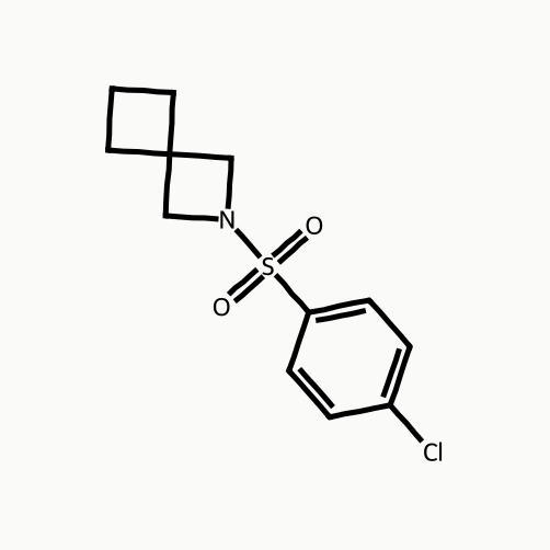 O=S(=O)(c1ccc(Cl)cc1)N1CC2(CCC2)C1